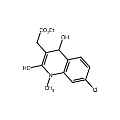 CCOC(=O)CC1=C(O)N(C)c2cc(Cl)ccc2C1O